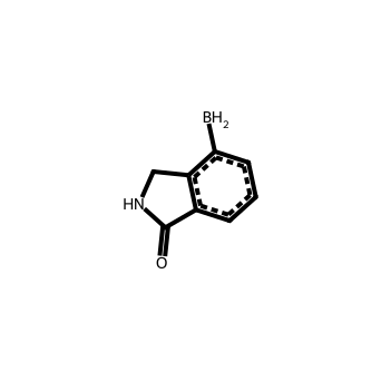 Bc1cccc2c1CNC2=O